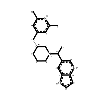 Cc1cc(C[C@H]2CCCN(C(C)c3cnc4ccoc4c3)C2)cc(C)n1